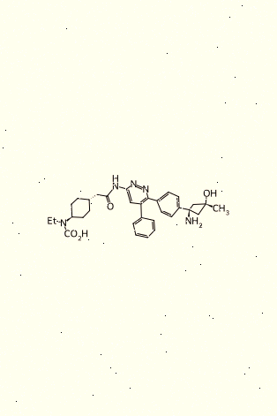 CCN(C(=O)O)[C@H]1CC[C@H](CC(=O)Nc2cc(-c3ccccc3)c(-c3ccc([C@]4(N)C[C@](C)(O)C4)cc3)nn2)CC1